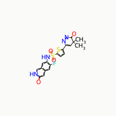 CC1(C)C=C(c2ccc(S(=O)(=O)Nc3cc4c[nH]c(=O)cc4cc3F)s2)N=NC1=O